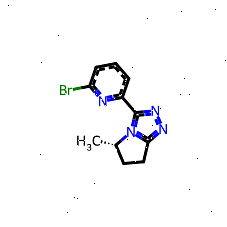 C[C@H]1CCc2nnc(-c3cccc(Br)n3)n21